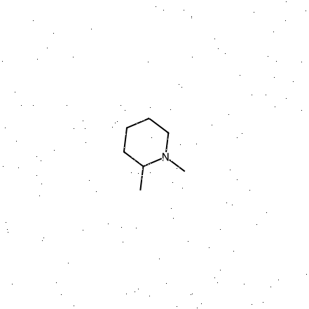 CC1CCCCN1C